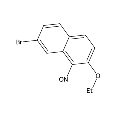 CCOc1ccc2ccc(Br)cc2c1N=O